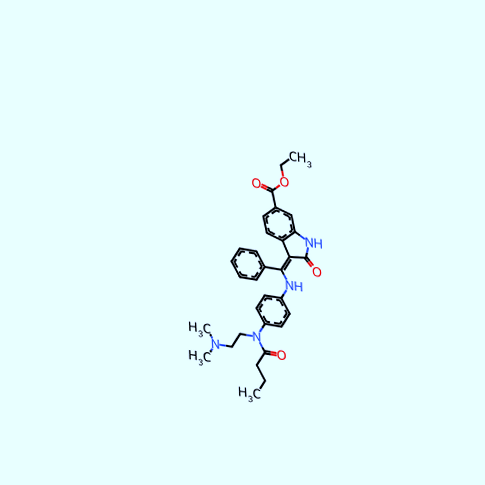 CCCC(=O)N(CCN(C)C)c1ccc(N/C(=C2\C(=O)Nc3cc(C(=O)OCC)ccc32)c2ccccc2)cc1